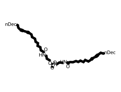 CCCCCCCCCCCCC#CC#CCCCCCCCCC(=O)NCCCO[PH](=O)OCCCNC(=O)CCCCCCCCC#CC#CCCCCCCCCCCCC